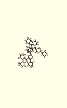 c1ccc(-c2ccc(N(c3cccc(-c4ccc5c(c4)c(-c4ccccc4)c(-c4ccccc4)c4ccccc45)c3)c3cccc4c5ccccc5n(-c5ccccc5)c34)cc2)cc1